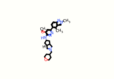 COc1cc(-c2ccc3nn(C)cc3c2C)nnc1N[C@@H]1CC2CN(CC3CCOCC3)C[C@H]2C1